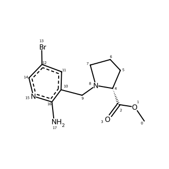 COC(=O)[C@H]1CCCN1Cc1cc(Br)cnc1N